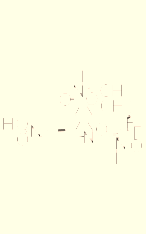 CC(C)Oc1cc2c(OC[C@@H]3CC(F)(F)C(=O)N3)ncc(C#CC3CN(C(=O)O)C3)c2cc1C(N)=O